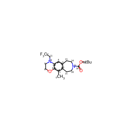 Cc1c2c(cc3c1OCCN3CC(F)(F)F)CCN(C(=O)OC(C)(C)C)CC2